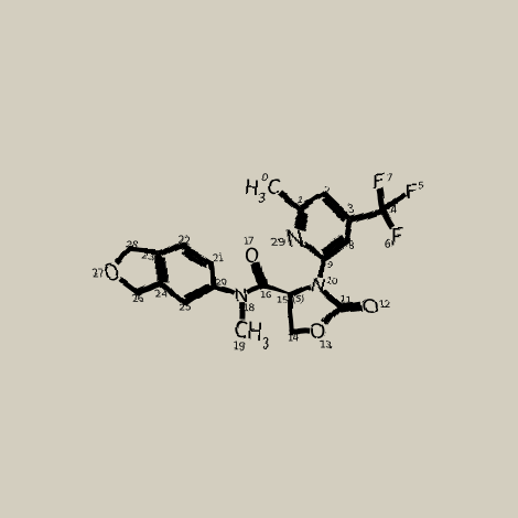 Cc1cc(C(F)(F)F)cc(N2C(=O)OC[C@H]2C(=O)N(C)c2ccc3c(c2)COC3)n1